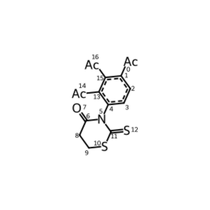 CC(=O)c1ccc(N2C(=O)CCSC2=S)c(C(C)=O)c1C(C)=O